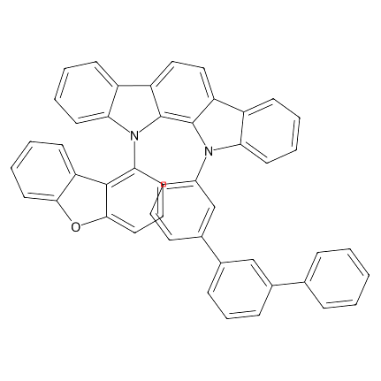 c1ccc(-c2cccc(-c3cccc(-n4c5ccccc5c5ccc6c7ccccc7n(-c7cccc8oc9ccccc9c78)c6c54)c3)c2)cc1